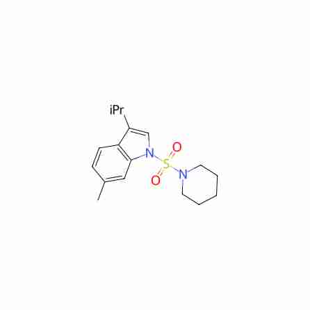 Cc1ccc2c(C(C)C)cn(S(=O)(=O)N3CCCCC3)c2c1